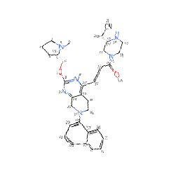 CN1CCC[C@H]1COc1nc(C=CC(=O)N2CCN[C@@H](CC#N)C2)c2c(n1)CN(c1cccc3ccccc13)CC2